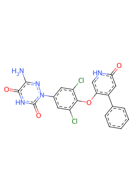 Nc1nn(-c2cc(Cl)c(Oc3c[nH]c(=O)cc3-c3ccccc3)c(Cl)c2)c(=O)[nH]c1=O